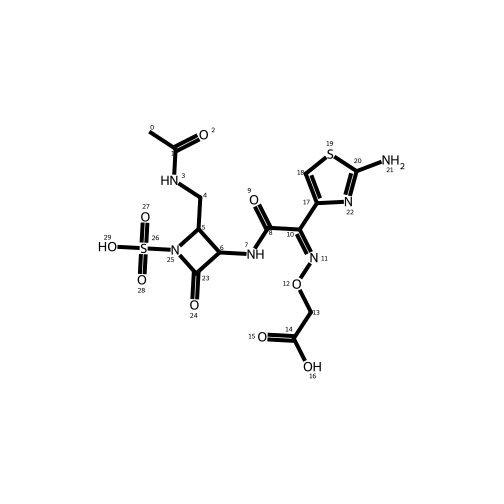 CC(=O)NCC1C(NC(=O)C(=NOCC(=O)O)c2csc(N)n2)C(=O)N1S(=O)(=O)O